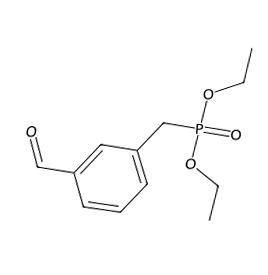 CCOP(=O)(Cc1cccc(C=O)c1)OCC